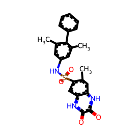 Cc1cc2[nH]c(=O)c(=O)[nH]c2cc1S(=O)(=O)Nc1cc(C)c(-c2ccccc2)c(C)c1